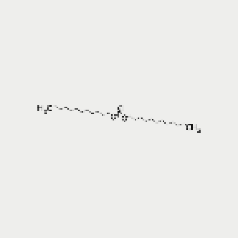 CCCCCCCCCCCCOP(Cl)OCCCCCCCCCCCC